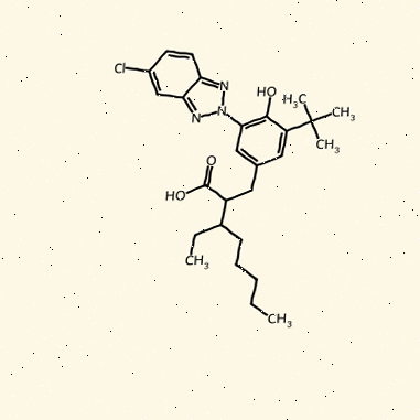 CCCCCC(CC)C(Cc1cc(-n2nc3ccc(Cl)cc3n2)c(O)c(C(C)(C)C)c1)C(=O)O